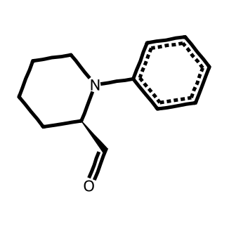 O=C[C@H]1CCCCN1c1ccccc1